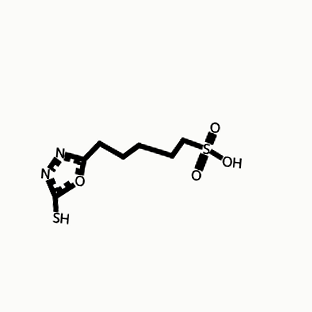 O=S(=O)(O)CCCCCc1nnc(S)o1